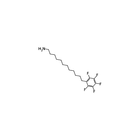 NCCCCCCCCCCCCc1c(F)c(F)c(F)c(F)c1F